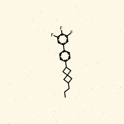 CCCC1CC2(C1)CC(c1ccc(-c3cc(F)c(F)c(F)c3)cc1)C2